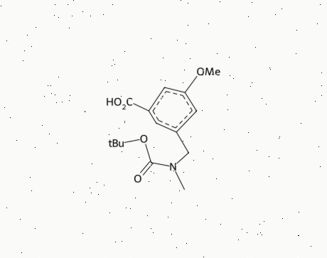 COc1cc(CN(C)C(=O)OC(C)(C)C)cc(C(=O)O)c1